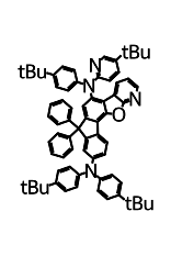 CC(C)(C)c1ccc(N(c2ccc(C(C)(C)C)cc2)c2ccc3c(c2)C(c2ccccc2)(c2ccccc2)c2cc(N(c4ccc(C(C)(C)C)cc4)c4ccc(C(C)(C)C)cn4)c4c(oc5ncccc54)c2-3)cc1